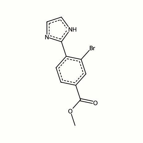 COC(=O)c1ccc(-c2ncc[nH]2)c(Br)c1